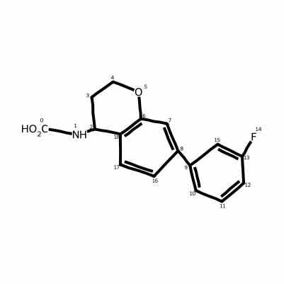 O=C(O)NC1CCOc2cc(-c3cccc(F)c3)ccc21